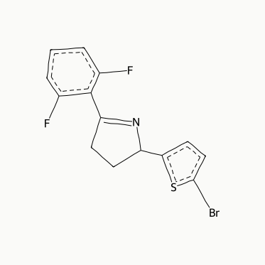 Fc1cccc(F)c1C1=NC(c2ccc(Br)s2)CC1